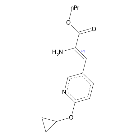 CCCOC(=O)/C(N)=C/c1ccc(OC2CC2)nc1